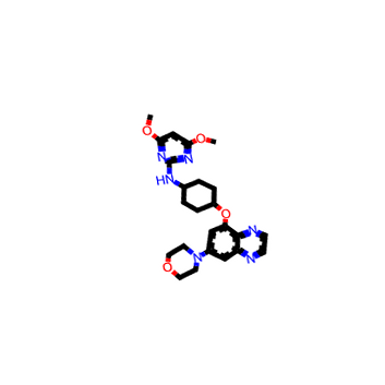 COc1cc(OC)nc(NC2CCC(Oc3cc(N4CCOCC4)cc4nccnc34)CC2)n1